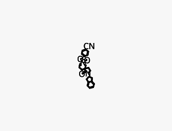 N#Cc1ccc(S(=O)(=O)N2CCCC3(CCN(C4Cc5ccccc5C4)C3=O)C2)cc1